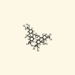 CCOc1cc(N(CC)CC)ccc1C(COCC(c1ccc(N(C)C)cc1)c1ccc(N(CC)CC)cc1OCC)c1ccc(N(C)C)cc1